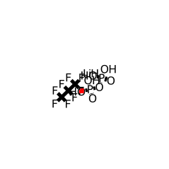 FC(F)(F)C(F)(F)C(F)(F)F.O=P(O)(O)OP(=O)(O)O.[LiH]